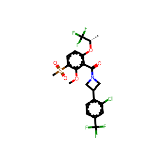 COc1c(S(C)(=O)=O)ccc(O[C@@H](C)C(F)(F)F)c1C(=O)N1CC(c2ccc(C(F)(F)F)cc2Cl)C1